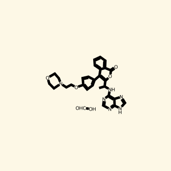 CC(Nc1ncnc2[nH]cnc12)c1oc(=O)c2ccccc2c1-c1ccc(OCCN2CCOCC2)cc1.O=CO